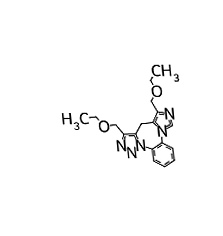 CCOCc1ncn2c1Cc1c(COCC)nnn1-c1ccccc1-2